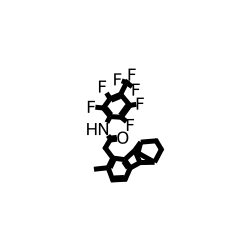 Cc1ccc2c(c1CC(=O)Nc1c(F)c(F)c(C(F)(F)F)c(F)c1F)C1C3CCC(C3)C21